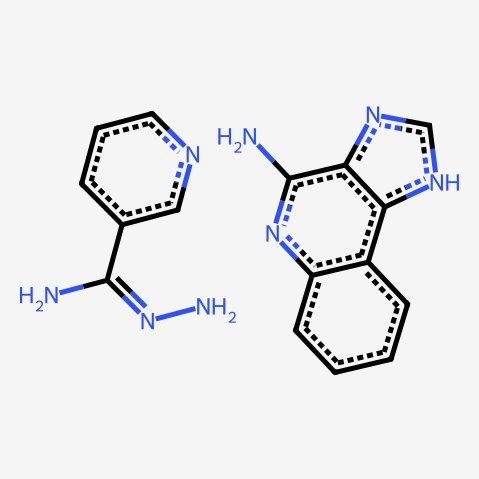 N/N=C(/N)c1cccnc1.Nc1nc2ccccc2c2[nH]cnc12